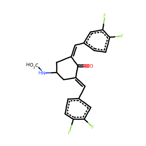 O=C(O)NC1C/C(=C/c2ccc(F)c(F)c2)C(=O)/C(=C/c2ccc(F)c(F)c2)C1